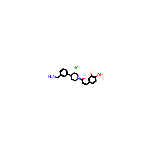 Cl.NCc1cccc(C2CCN(C(=O)/C=C\c3ccc(O)c(O)c3)CC2)c1